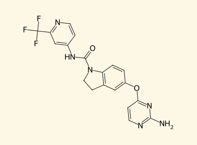 Nc1nccc(Oc2ccc3c(c2)CCN3C(=O)Nc2ccnc(C(F)(F)F)c2)n1